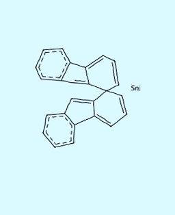 C1=CC2(C=CC=C3C2=Cc2ccccc23)C2=Cc3ccccc3C2=C1.[Sn]